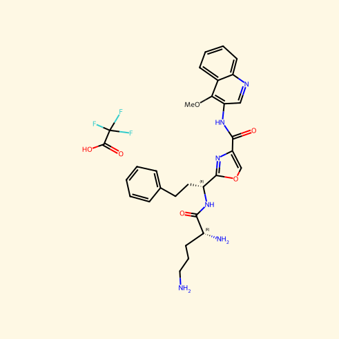 COc1c(NC(=O)c2coc([C@@H](CCc3ccccc3)NC(=O)[C@H](N)CCCN)n2)cnc2ccccc12.O=C(O)C(F)(F)F